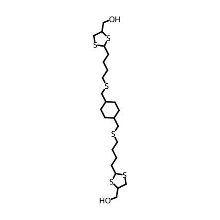 OCC1CSC(CCCCSCC2CCC(CSCCCCC3SCC(CO)S3)CC2)S1